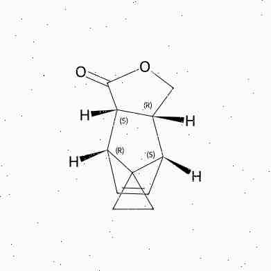 O=C1OC[C@H]2[C@@H]1[C@H]1C=C[C@@H]2C12CC2